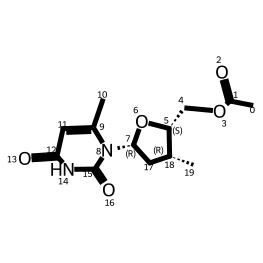 CC(=O)OC[C@H]1O[C@@H](n2c(C)cc(=O)[nH]c2=O)C[C@H]1C